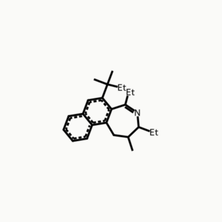 CCC1=NC(CC)C(C)Cc2c1c(C(C)(C)CC)cc1ccccc21